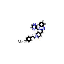 COc1ccc(CCN2CCC(Cc3nc4ccccc4n3Cc3cnccn3)CC2)cc1